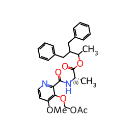 COc1ccnc(C(=O)N[C@@H](C)C(=O)OC(C)C(Cc2ccccc2)Cc2ccccc2)c1OCOC(C)=O